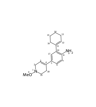 CON1CC=C(c2ccc(N)c(C3=CCCCC3)c2)CC1